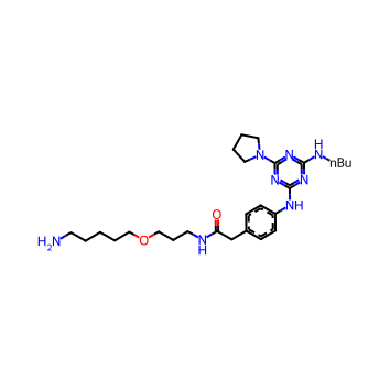 CCCCNc1nc(Nc2ccc(CC(=O)NCCCOCCCCCN)cc2)nc(N2CCCC2)n1